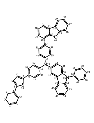 C1=CCCC(c2ccc(-c3ccc(N(c4ccc(-c5cccc6c5oc5ccccc56)cc4)c4ccc5c(c4)c4ccccc4n5-c4ccccc4)cc3)s2)=C1